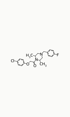 CC1CN(Cc2ccc(F)cc2)CC(C)N1C(=O)COc1ccc(Cl)cc1